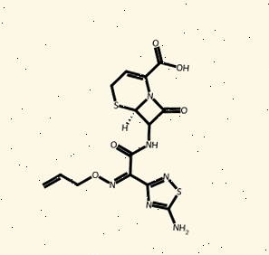 C=CCO/N=C(\C(=O)NC1C(=O)N2C(C(=O)O)=CCS[C@H]12)c1nsc(N)n1